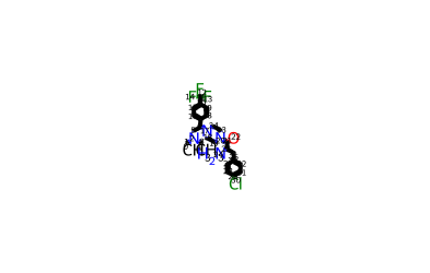 CCN(CC)CC(c1ccc(C(F)(F)F)cc1)N1CCN(C(=O)C(N)Cc2ccc(Cl)cc2)CC1